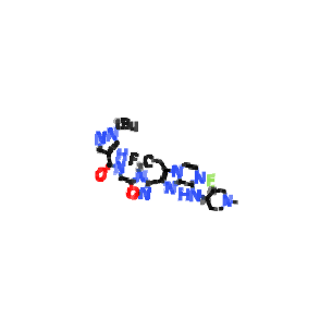 CN1CC[C@@H](Nc2nccn3c(CC(F)(F)F)c(-c4noc(CNC(=O)c5cnn(C(C)(C)C)c5)n4)nc23)[C@@H](F)C1